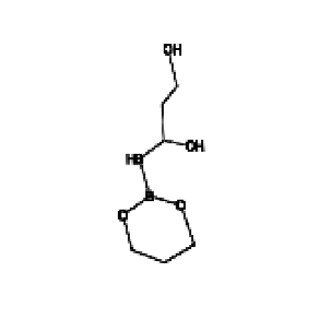 OCCC(O)BB1OCCCO1